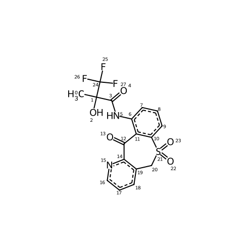 CC(O)(C(=O)Nc1cccc2c1C(=O)c1ncccc1CS2(=O)=O)C(F)(F)F